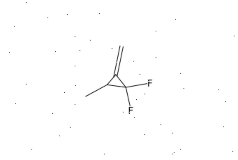 C=C1C(C)C1(F)F